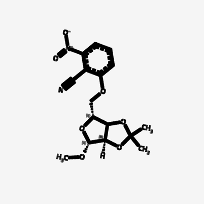 CO[C@@H]1O[C@H](COc2cccc([N+](=O)[O-])c2C#N)C2OC(C)(C)O[C@H]21